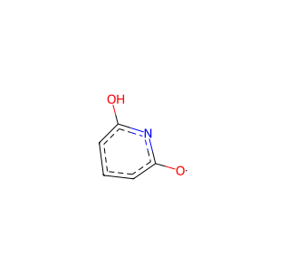 [O]c1cccc(O)n1